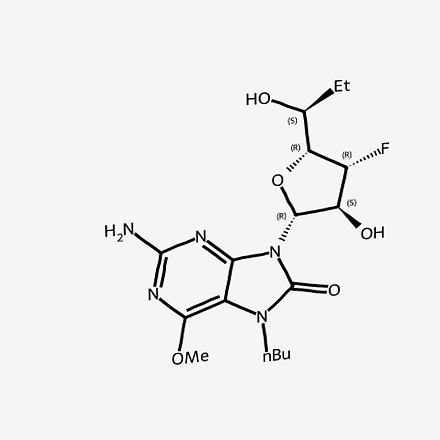 CCCCn1c(=O)n([C@@H]2O[C@H]([C@@H](O)CC)[C@H](F)[C@H]2O)c2nc(N)nc(OC)c21